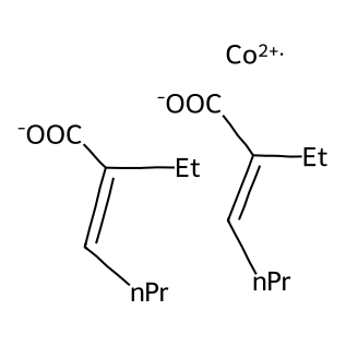 CCC/C=C(\CC)C(=O)[O-].CCC/C=C(\CC)C(=O)[O-].[Co+2]